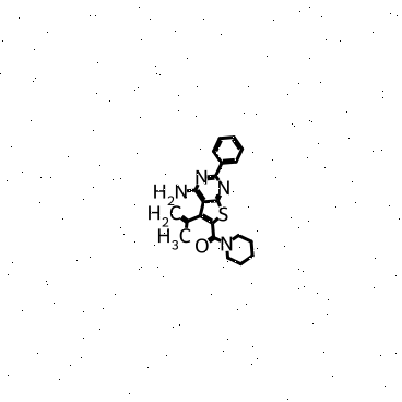 C=C(C)c1c(C(=O)N2CCCCC2)sc2nc(-c3ccccc3)nc(N)c12